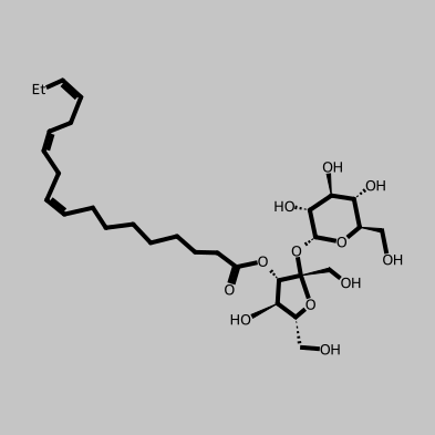 CC/C=C\C/C=C\C/C=C\CCCCCCCC(=O)O[C@H]1[C@H](O)[C@@H](CO)O[C@@]1(CO)O[C@H]1O[C@H](CO)[C@@H](O)[C@H](O)[C@H]1O